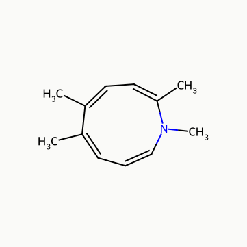 Cc1cccn(C)c(C)ccc1C